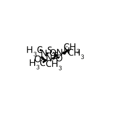 CN(C)/C=N/S(=O)(=O)CN1C(=S)N(C)C(=O)C1(C)C